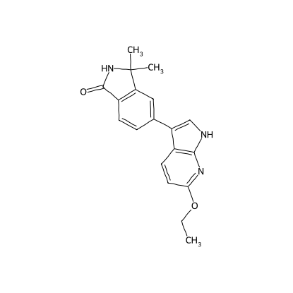 CCOc1ccc2c(-c3ccc4c(c3)C(C)(C)NC4=O)c[nH]c2n1